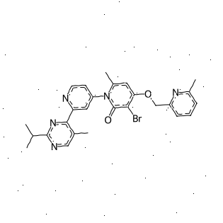 Cc1cccc(COc2cc(C)n(-c3ccnc(-c4nc(C(C)C)ncc4C)c3)c(=O)c2Br)n1